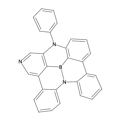 c1ccc(N2c3cccc4c3B3c5c(cncc52)-c2ccccc2N3c2ccccc2-4)cc1